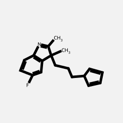 CC1=Nc2ccc(F)cc2C1(C)CCCC1C=CC=C1